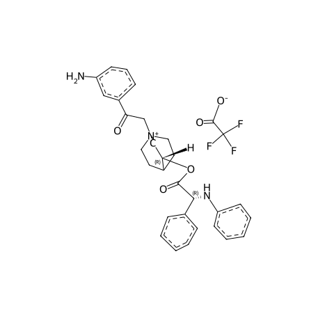 Nc1cccc(C(=O)C[N+]23CCC(CC2)[C@@H](OC(=O)[C@H](Nc2ccccc2)c2ccccc2)C3)c1.O=C([O-])C(F)(F)F